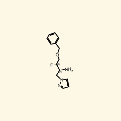 N[C@@H](Cn1cccn1)[C@H](F)COCc1ccccc1